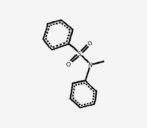 CN(c1c[c]ccc1)S(=O)(=O)c1ccccc1